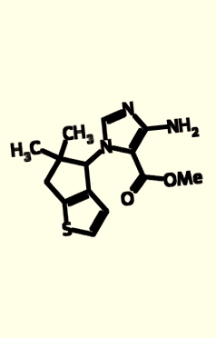 COC(=O)c1c(N)ncn1C1c2ccsc2CC1(C)C